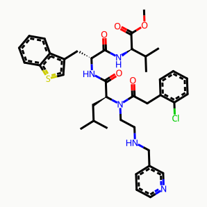 COC(=O)[C@H](NC(=O)[C@@H](Cc1csc2ccccc12)NC(=O)[C@H](CC(C)C)N(CCNCc1cccnc1)C(=O)Cc1ccccc1Cl)C(C)C